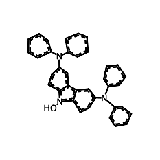 On1c2ccc(N(c3ccccc3)c3ccccc3)cc2c2cc(N(c3ccccc3)c3ccccc3)ccc21